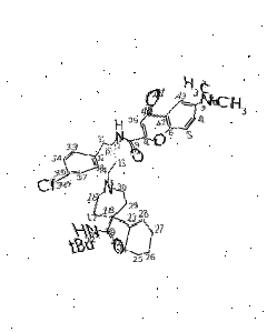 CN(C)c1ccc2oc(C(=O)N[C@H](CCN3CCC(C(=O)NC(C)(C)C)(C4CCCCC4)CC3)Cc3ccc(Cl)cc3)cc(=O)c2c1